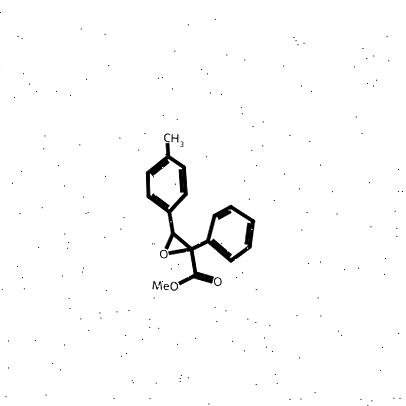 COC(=O)C1(c2ccccc2)OC1c1ccc(C)cc1